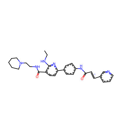 CCNc1nc(-c2ccc(NC(=O)/C=C/c3cccnc3)cc2)ccc1C(=O)NCCN1CCCCC1